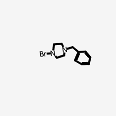 BrN1CCN(Cc2ccccc2)CC1